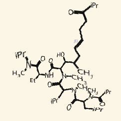 CCC(NC(=O)C(C(O)C(C)C/C=C/CCC(=O)C(C)C)N(C)C(=O)C(C(C)C)N(C)C(=O)C(CC(C)C)N(C)C(=O)C(C)C)C(=O)N(C)C(C)C